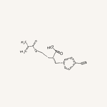 C=C(C)C(=O)OCCC(=Cc1ccc(C#N)cc1)C(=O)O